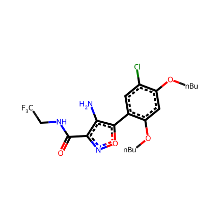 CCCCOc1cc(OCCCC)c(-c2onc(C(=O)NCC(F)(F)F)c2N)cc1Cl